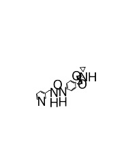 O=C(NCc1cccnc1)Nc1ccc(S(=O)(=O)NC2CC2)cc1